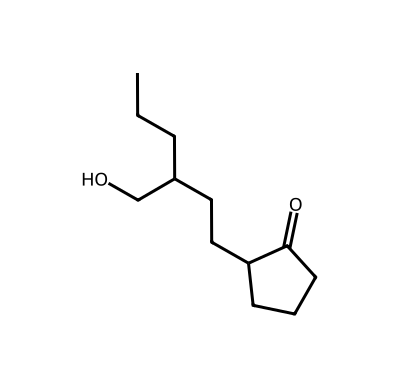 CCCC(CO)CCC1CCCC1=O